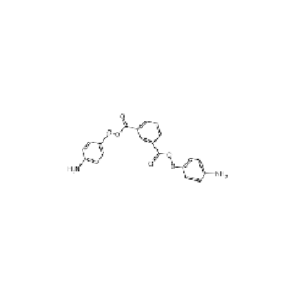 Nc1ccc(OOC(=O)c2cccc(C(=O)OOc3ccc(N)cc3)c2)cc1